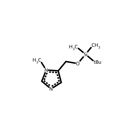 Cn1cncc1CO[Si](C)(C)C(C)(C)C